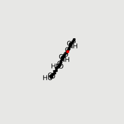 CSCCC(=O)NCCOCCOCCC(=O)NCCOC(=O)NCCCCCCOP(C)(=O)O